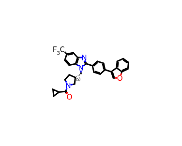 O=C(C1CC1)N1CC[C@H](Cn2c(-c3ccc(-c4coc5ccccc45)cc3)nc3cc(C(F)(F)F)ccc32)C1